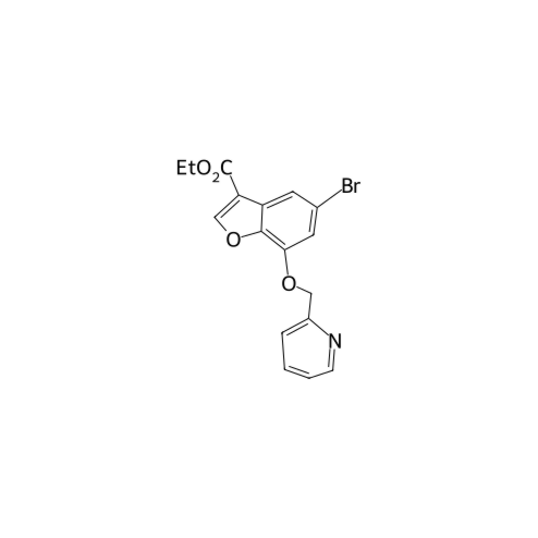 CCOC(=O)c1coc2c(OCc3ccccn3)cc(Br)cc12